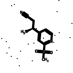 CS(=O)(=O)c1cc([C@@H](N)CC#N)ccn1